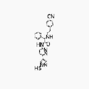 N#Cc1ccc(CCNC(C(=O)Nc2ccc(-c3cnn(S)c3)nn2)c2ccccc2)cc1